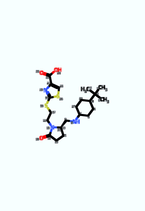 CC(C)(C)C1CCC(NC[C@H]2CCC(=O)N2CCSc2nc(C(=O)O)cs2)CC1